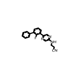 N#CCCNc1cnc(-c2cccc(-c3ccccc3)c2F)cn1